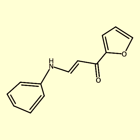 O=C(C=CNc1ccccc1)c1ccco1